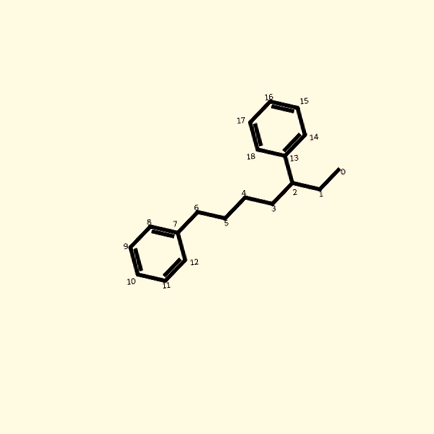 CCC(CCCCc1ccccc1)c1ccccc1